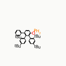 CC(C)(C)c1ccc(-c2c(OP)ccc(-c3ccccc3)c2-c2ccc(C(C)(C)C)cc2C(C)(C)C)c(C(C)(C)C)c1